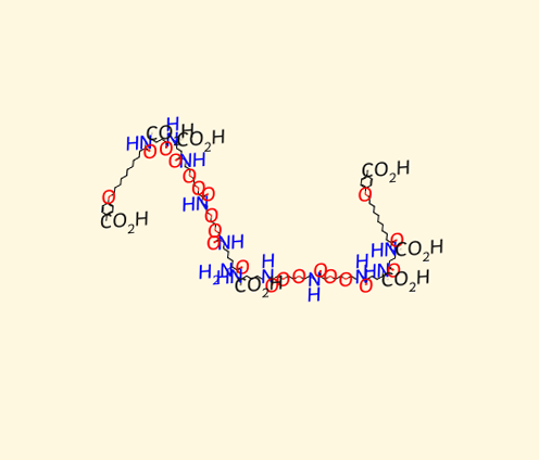 N[C@@H](CCCCNC(=O)COCCOCCNC(=O)COCCOCCNC(=O)CC[C@H](NC(=O)CC[C@H](NC(=O)CCCCCCCCCCOc1ccc(C(=O)O)cc1)C(=O)O)C(=O)O)C(=O)N[C@@H](CCCCNC(=O)COCCOCCNC(=O)COCCOCCNC(=O)CC[C@H](NC(=O)CC[C@H](NC(=O)CCCCCCCCCCOc1ccc(C(=O)O)cc1)C(=O)O)C(=O)O)C(=O)O